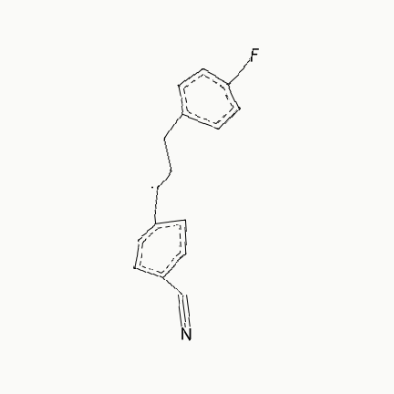 N#Cc1ccc([CH]CCc2ccc(F)cc2)cc1